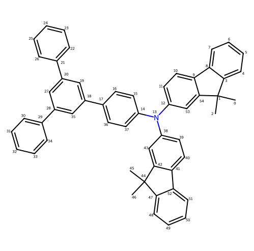 CC1(C)c2ccccc2-c2ccc(N(c3ccc(-c4cc(-c5ccccc5)cc(-c5ccccc5)c4)cc3)c3ccc4c(c3)C(C)(C)c3ccccc3-4)cc21